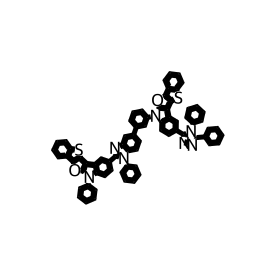 c1ccc(-c2nnc(-c3ccc4c(c3)c3c5sc6ccccc6c5oc3n4-c3cccc(-c4ccc5c(c4)nc(-c4ccc6c(c4)c4c7sc8ccccc8c7oc4n6-c4ccccc4)n5-c4ccccc4)c3)n2-c2ccccc2)cc1